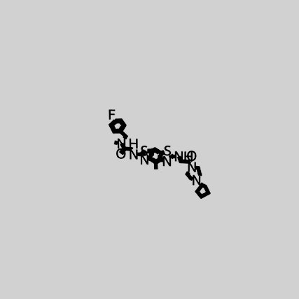 Cc1c2nc(NCC(=O)N(C)Cc3ccc(F)cc3)sc2cc2sc(NCC(=O)N3CCN(C4CCCC4)CC3)nc12